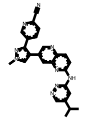 CC(C)c1cnnc(Nc2ccc3ncc(-c4cn(C)nc4-c4ccc(C#N)nc4)cc3n2)c1